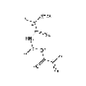 C=C(C)C(=O)OC(C)NC(=S)C(C)CCCCCC